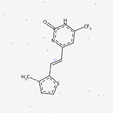 Cc1ccsc1/C=C/c1cc(C(F)(F)F)[nH]c(=O)n1